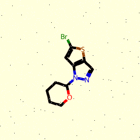 Brc1cc2c(cnn2C2CCCCO2)s1